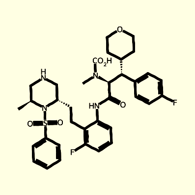 C[C@H]1CNC[C@H](CCc2c(F)cccc2NC(=O)[C@H]([C@@H](c2ccc(F)cc2)C2CCOCC2)N(C)C(=O)O)N1S(=O)(=O)c1ccccc1